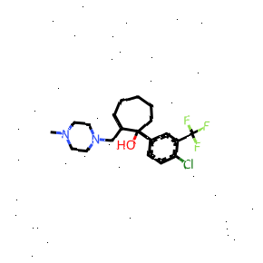 CN1CCN(CC2CCCCCC2(O)c2ccc(Cl)c(C(F)(F)F)c2)CC1